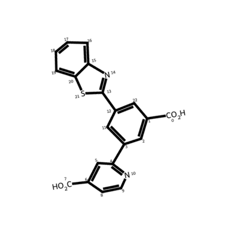 O=C(O)c1cc(-c2cc(C(=O)O)ccn2)cc(-c2nc3ccccc3s2)c1